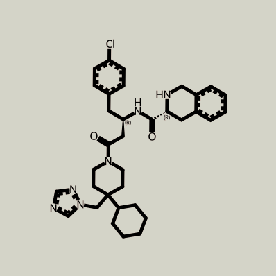 O=C(N[C@@H](CC(=O)N1CCC(Cn2cncn2)(C2CCCCC2)CC1)Cc1ccc(Cl)cc1)[C@H]1Cc2ccccc2CN1